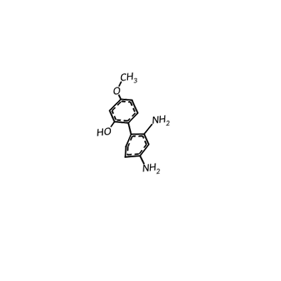 COc1ccc(-c2ccc(N)cc2N)c(O)c1